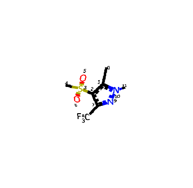 Cc1c(S(C)(=O)=O)c(C(F)(F)F)nn1C